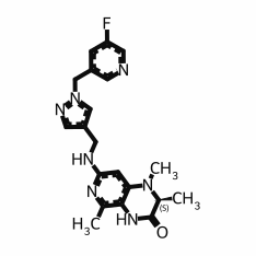 Cc1nc(NCc2cnn(Cc3cncc(F)c3)c2)cc2c1NC(=O)[C@H](C)N2C